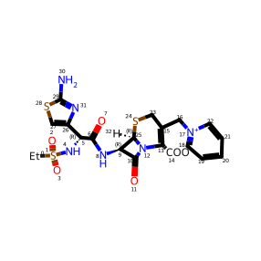 CCS(=O)(=O)N[C@@H](C(=O)N[C@@H]1C(=O)N2C(C(=O)[O-])=C(C[n+]3ccccc3)CS[C@H]12)c1csc(N)n1